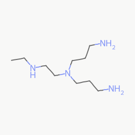 CCNCCN(CCCN)CCCN